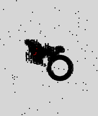 CC[C@H](C)[C@@H]([C@@H](CC(=O)N1CCC[C@H]1[C@H](OC)[C@@H](C)C(=O)N[C@H](C)[C@@H](O)c1ccccc1)OC)N(C)C(=O)[C@@H](NC(=O)[C@H](C(C)C)N(C)C(=O)OCc1ccc(NC(=O)[C@H](CCCNC(N)=O)NC(=O)[C@@H](NC(=O)CC[C@H](NC(=O)CCCCCN2C(=O)C=CC2=O)C(=O)N2CCOCCOCCOCCOCCOCCOCCOCCOCCOCCOCCOCCOCCOCC2)C(C)C)cc1)C(C)C